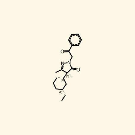 CC[C@@H]1CCC[C@H]([C@]2(C)C(=O)N(CC(=O)c3ccccc3)N=C2C)C1